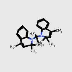 CC1=CC(C)(C)N(C(C)(C)N2c3ccccc3C(C)=CC2(C)C)c2ccccc21